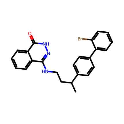 CC(CCNc1n[nH]c(=O)c2ccccc12)c1ccc(-c2ccccc2Br)cc1